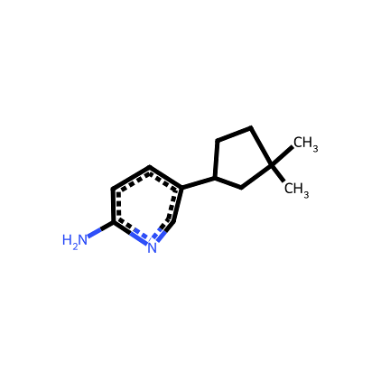 CC1(C)CCC(c2ccc(N)nc2)C1